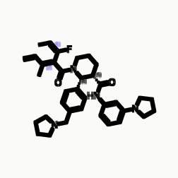 C=C/C(C)=C(C(=O)N1CCC[C@H](C(=O)Nc2cccc(N3CCCC3)c2)[C@@H]1c1ccc(CN2CCCC2)cc1)\C(F)=C/C